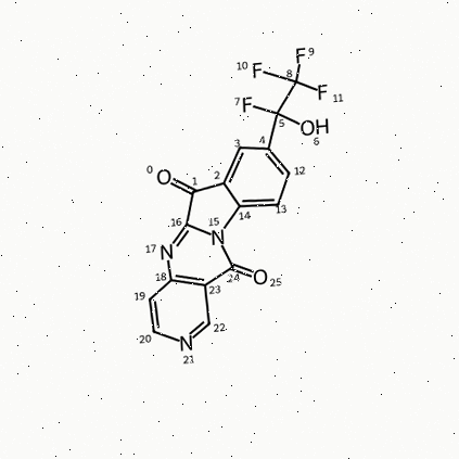 O=C1c2cc(C(O)(F)C(F)(F)F)ccc2-n2c1nc1ccncc1c2=O